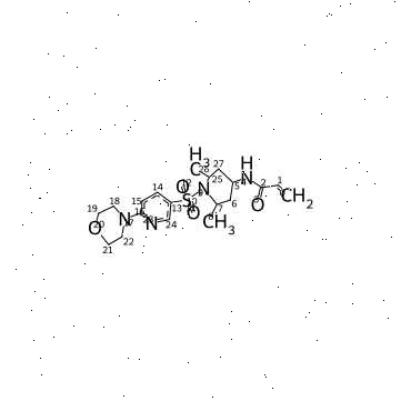 C=CC(=O)NC1CC(C)N(S(=O)(=O)c2ccc(N3CCOCC3)nc2)C(C)C1